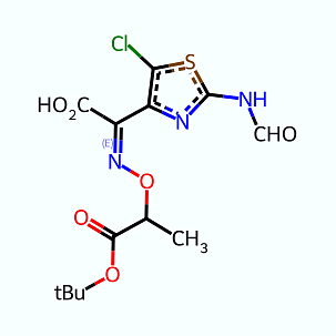 CC(O/N=C(/C(=O)O)c1nc(NC=O)sc1Cl)C(=O)OC(C)(C)C